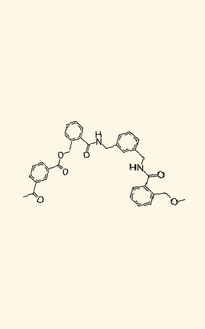 COCc1ccccc1C(=O)NCc1cccc(CNC(=O)c2ccccc2COC(=O)c2cccc(C(C)=O)c2)c1